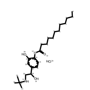 CCCCCCCCCCCC(=O)Oc1ccc(C(O)CNC(C)(C)C)cc1O.Cl